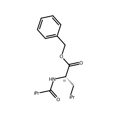 CC(C)C[C@H](NC(=O)C(C)C)C(=O)OCc1ccccc1